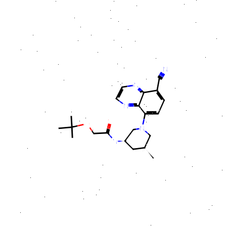 C[C@H]1C[C@@H](NC(=O)COC(C)(C)C)CN(c2ccc(C#N)c3nccnc23)C1